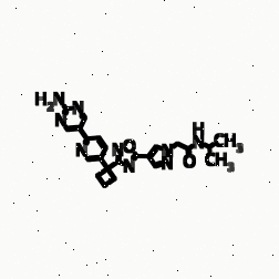 CC(C)NC(=O)Cn1cc(-c2nc(C3(c4ccc(-c5cnc(N)nc5)nc4)CCC3)no2)cn1